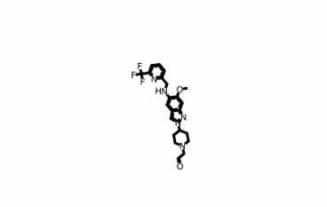 COc1cc2nn(C3CCN(CC=O)CC3)cc2cc1NCc1cccc(C(F)(F)F)n1